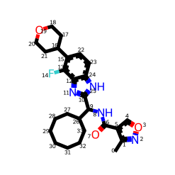 Cc1nocc1C(=O)NC(c1nc2c(F)c(C3CCOCC3)ccc2[nH]1)C1CCCCCCC1